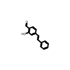 O=Cc1ccc(C=Cc2ccccc2)cc1O